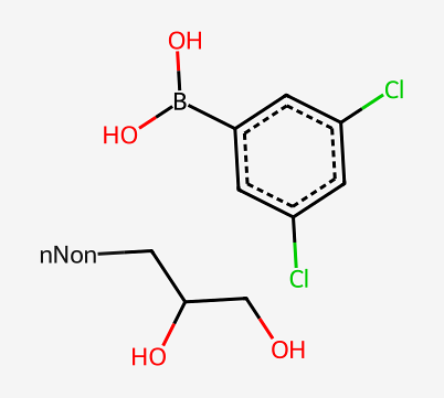 CCCCCCCCCCC(O)CO.OB(O)c1cc(Cl)cc(Cl)c1